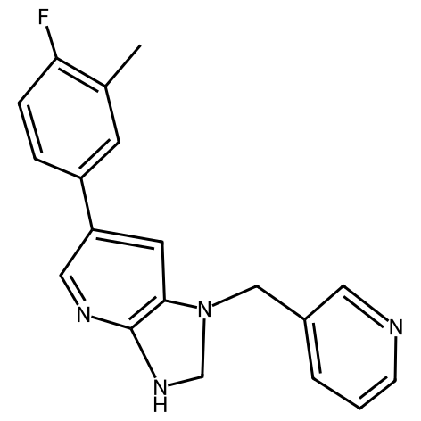 Cc1cc(-c2cnc3c(c2)N(Cc2cccnc2)CN3)ccc1F